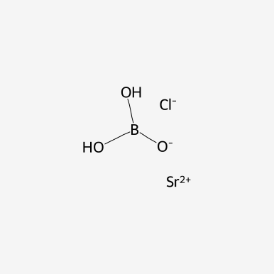 [Cl-].[O-]B(O)O.[Sr+2]